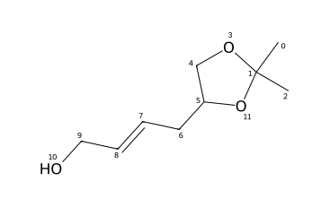 CC1(C)OCC(CC=CCO)O1